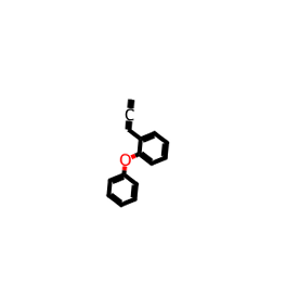 C=C=Cc1ccccc1Oc1ccccc1